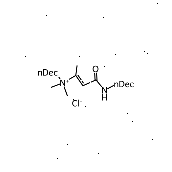 CCCCCCCCCCNC(=O)/C=C(\C)[N+](C)(C)CCCCCCCCCC.[Cl-]